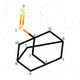 S=PC12CC3CC(CC(C3)C1)C2